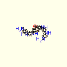 Nc1ccc(Nc2ccc(Nc3ccc4c(=O)c5ccc(Nc6ccc(Nc7ccc(N)cc7)cc6)cc5sc4c3)cc2)cc1